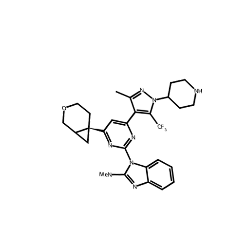 CNc1nc2ccccc2n1-c1nc(-c2c(C)nn(C3CCNCC3)c2C(F)(F)F)cc([C@]23CCOCC2C3)n1